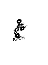 CC(C)Oc1cc(CN2CC[C@]3(CC(c4ccccc4)C(=O)N3c3cccc(F)c3)C[C@@H]2C)ccc1O